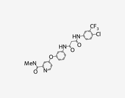 CNC(=O)c1cc(Oc2cccc(NC(=O)CC(=O)Nc3ccc(Cl)c(C(F)(F)F)c3)c2)ccn1